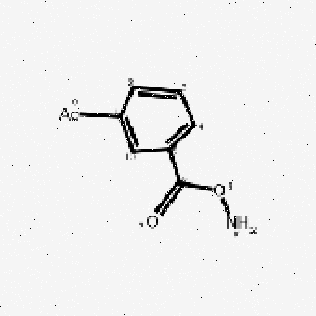 CC(=O)c1cccc(C(=O)ON)c1